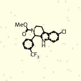 COC(=O)N1CCc2c([nH]c3ccc(Cl)cc23)C1c1cccc(C(F)(F)F)c1